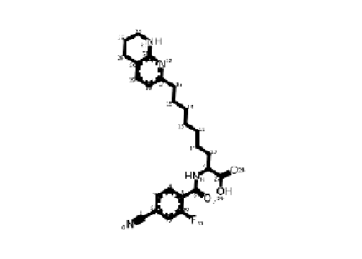 N#Cc1ccc(C(=O)NC(CCCCCCCc2ccc3c(n2)NCCC3)C(=O)O)c(F)c1